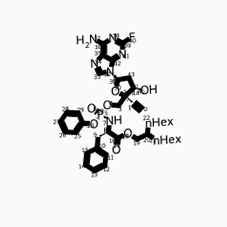 C#C[C@]1(CO[P@@](=O)(N[C@@H](Cc2ccccc2)C(=O)OCC(CCCCCC)CCCCCC)Oc2ccccc2)O[C@@H](n2cnc3c(N)nc(F)nc32)C[C@@H]1O